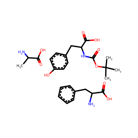 CC(C)(C)OC(=O)NC(Cc1ccc(O)cc1)C(=O)O.CC(N)C(=O)O.NC(Cc1ccccc1)C(=O)O